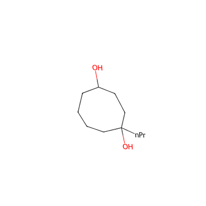 CCCC1(O)CCCCC(O)CC1